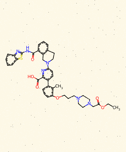 CCOC(=O)CN1CCN(CCCOc2cccc(-c3ccc(N4CCc5cccc(C(=O)Nc6nc7ccccc7s6)c5C4)nc3C(=O)O)c2C)CC1